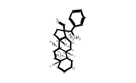 CC(c1ccccc1)C1(C=O)CC[C@H]2[C@@H]3CC[C@H]4CCCC[C@]4(C)[C@H]3CC[C@@]21C